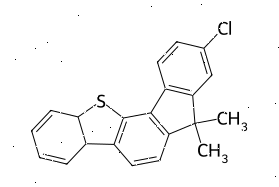 CC1(C)c2cc(Cl)ccc2-c2c1ccc1c2SC2C=CC=CC12